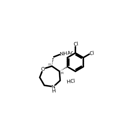 CC(=O)NC[C@H]1OCCNC[C@H]1c1ccc(Cl)c(Cl)c1.Cl